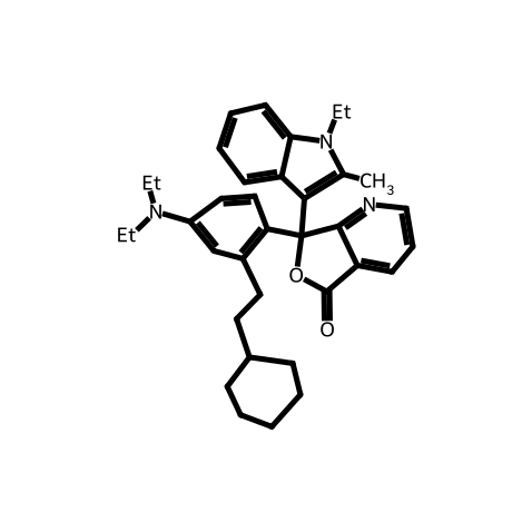 CCN(CC)c1ccc(C2(c3c(C)n(CC)c4ccccc34)OC(=O)c3cccnc32)c(CCC2CCCCC2)c1